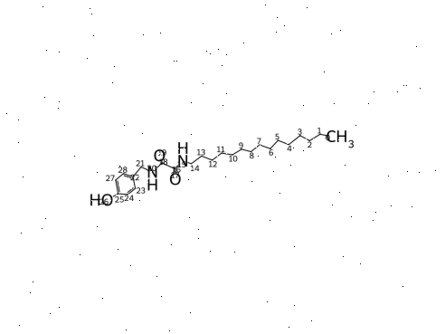 CCCCCCCCCCCCCCCNC(=O)C(=O)NCc1ccc(O)cc1